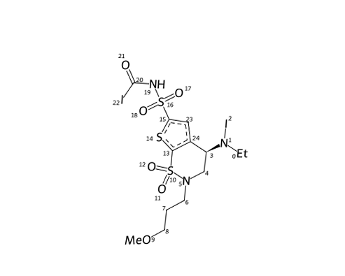 CCN(I)[C@H]1CN(CCCOC)S(=O)(=O)c2sc(S(=O)(=O)NC(=O)I)cc21